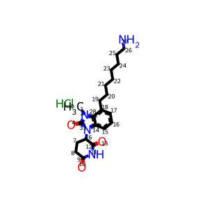 Cl.Cn1c(=O)n(C2CCC(=O)NC2=O)c2cccc(CCCCCCCCN)c21